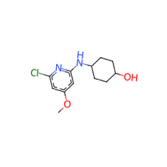 COc1cc(Cl)nc(NC2CCC(O)CC2)c1